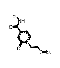 CCNC(=O)c1ccn(CCOCC)c(=O)c1